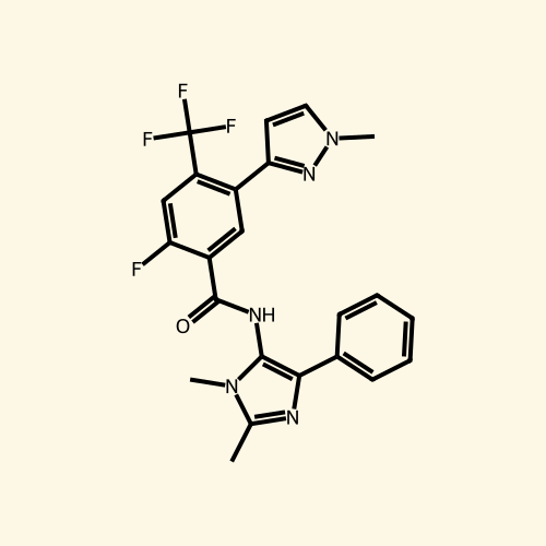 Cc1nc(-c2ccccc2)c(NC(=O)c2cc(-c3ccn(C)n3)c(C(F)(F)F)cc2F)n1C